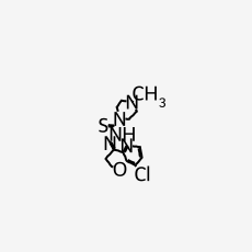 CN1CCN(C(=S)N/N=C2/CCOc3c(Cl)ccnc32)CC1